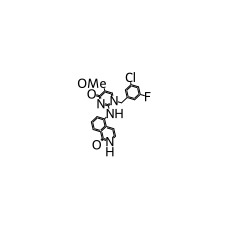 COc1cn(Cc2cc(F)cc(Cl)c2)c(Nc2cccc3c(=O)[nH]ccc23)nc1=O